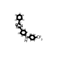 FC(F)(F)c1ccc(Nc2ccc(-c3noc(-c4ccccc4)n3)cc2)cc1